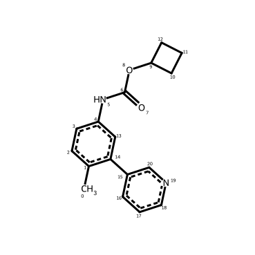 Cc1ccc(NC(=O)OC2CCC2)cc1-c1cccnc1